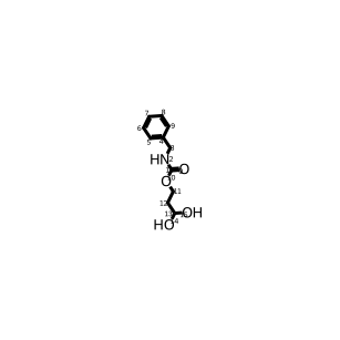 O=C(NCc1ccccc1)OCCC(O)O